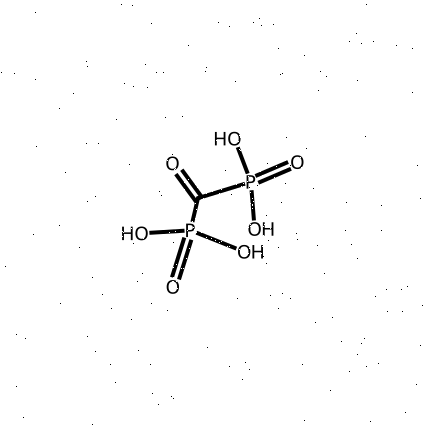 O=C(P(=O)(O)O)P(=O)(O)O